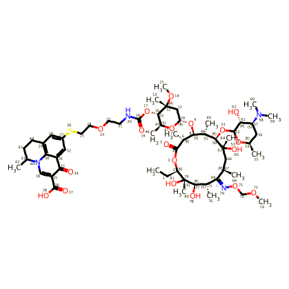 CC[C@H]1OC(=O)[C@H](C)[C@@H](O[C@H]2C[C@@](C)(OC)[C@@H](OC(=O)NCCOCCSc3cc4c5c(c3)c(=O)c(C(=O)O)cn5C(C)CC4)[C@H](C)O2)[C@H](C)[C@@H](OC2O[C@H](C)C[C@H](N(C)C)[C@H]2O)[C@](C)(O)C[C@@H](C)/C(=N\OCOC)[C@H](C)[C@@H](O)[C@]1(C)O